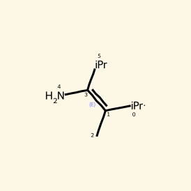 C[C](C)/C(C)=C(/N)C(C)C